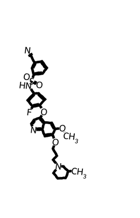 COc1cc2c(Oc3ccc(NS(=O)(=O)c4cccc(C#N)c4)cc3F)ccnc2cc1OCCCN1CCCC(C)C1